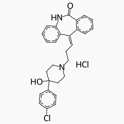 Cl.O=C1Nc2ccccc2C(=CCCN2CCC(O)(c3ccc(Cl)cc3)CC2)c2ccccc21